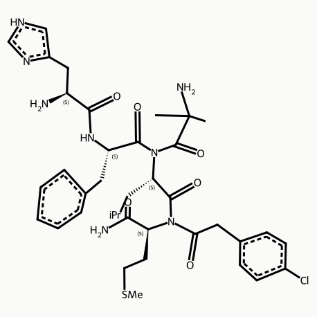 CSCC[C@@H](C(N)=O)N(C(=O)Cc1ccc(Cl)cc1)C(=O)[C@H](CC(C)C)N(C(=O)[C@H](Cc1ccccc1)NC(=O)[C@@H](N)Cc1c[nH]cn1)C(=O)C(C)(C)N